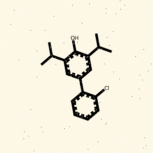 CC(C)c1cc(-c2ccccc2Cl)cc(C(C)C)c1O